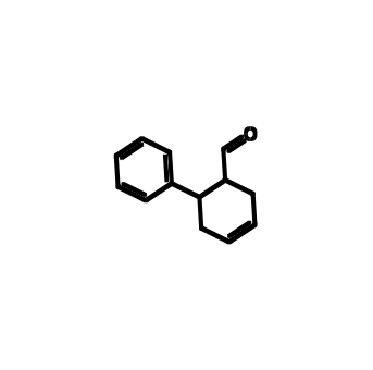 O=CC1CC=CCC1c1ccccc1